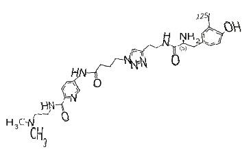 CN(C)CCNC(=O)c1ccc(NC(=O)CCCn2cc(CCNC(=O)[C@@H](N)Cc3ccc(O)c([125I])c3)nn2)cn1